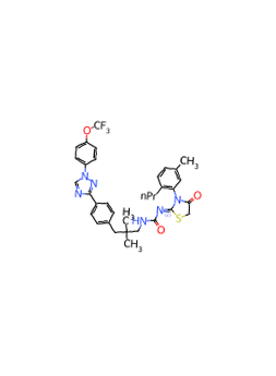 CCCc1ccc(C)cc1N1C(=O)CS/C1=N\C(=O)NCC(C)(C)Cc1ccc(-c2ncn(-c3ccc(OC(F)(F)F)cc3)n2)cc1